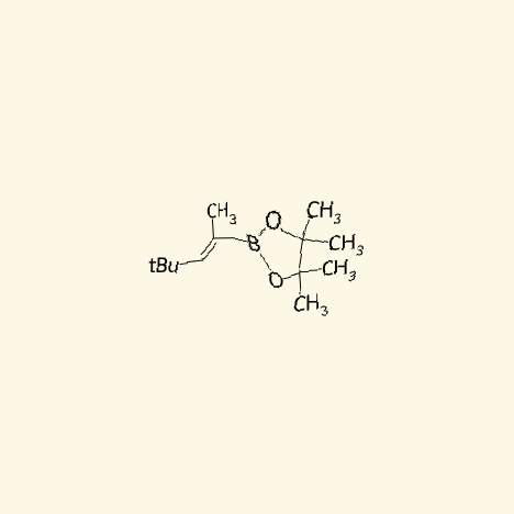 CC(=CC(C)(C)C)B1OC(C)(C)C(C)(C)O1